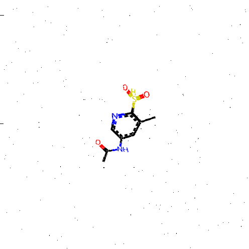 CC(=O)Nc1cnc([SH](=O)=O)c(C)c1